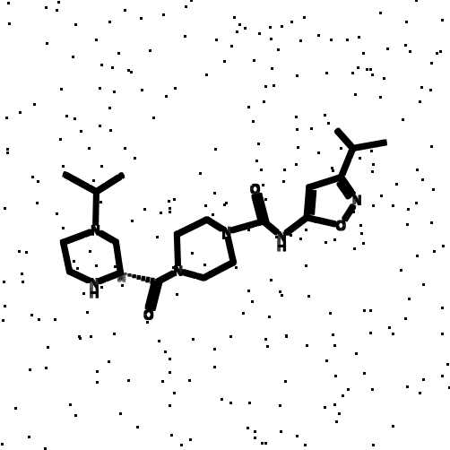 CC(C)c1cc(NC(=O)N2CCN(C(=O)[C@H]3CN(C(C)C)CCN3)CC2)on1